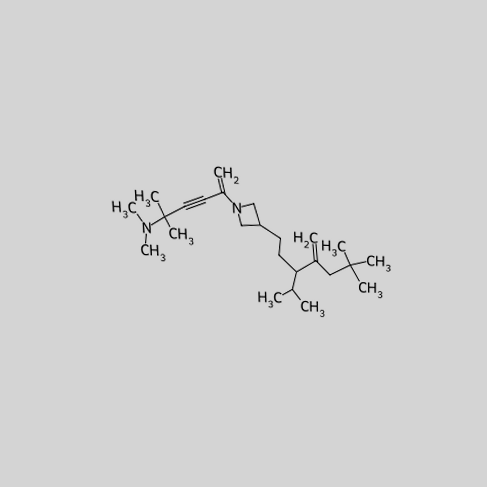 C=C(CC(C)(C)C)C(CCC1CN(C(=C)C#CC(C)(C)N(C)C)C1)C(C)C